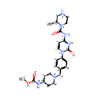 CC(C)[C@H]1CNCCN1C(=O)Nc1ccn(-c2ccc(CN3CCC(NC(=O)OC(C)(C)C)CC3)cc2)c(=O)n1